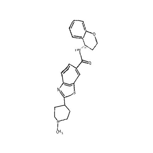 CN1CCC(c2nc3ccc(C(=O)N[C@H]4CCOc5ccccc54)cc3s2)CC1